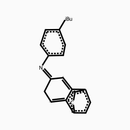 CCC(C)c1ccc(N=C2[C]=c3c(c4ccc3cc4)=[C]C2)cc1